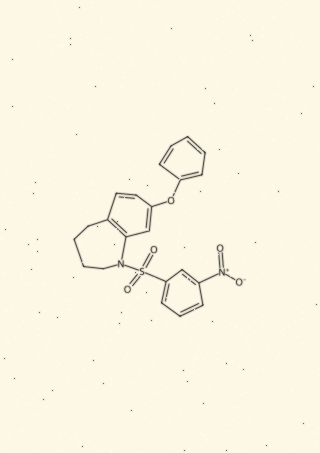 O=[N+]([O-])c1cccc(S(=O)(=O)N2CCCCc3ccc(Oc4ccccc4)cc32)c1